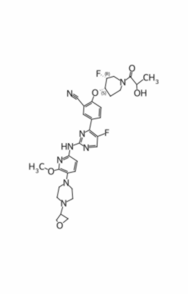 COc1nc(Nc2ncc(F)c(-c3ccc(O[C@H]4CCN(C(=O)C(C)O)C[C@H]4F)c(C#N)c3)n2)ccc1N1CCN(C2COC2)CC1